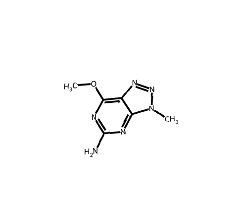 COc1nc(N)nc2c1nnn2C